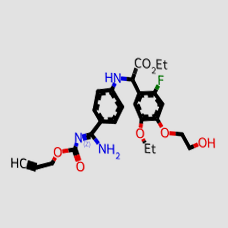 C#CCOC(=O)/N=C(\N)c1ccc(NC(C(=O)OCC)c2cc(OCC)c(OCCO)cc2F)cc1